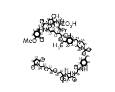 COc1ccc(C[C@@H](NC(=O)/C=C/CC[C@H](C)O[C@@H](C)c2ccc(CN3CCN(C(=O)OCc4ccc(NC(=O)CNC(=O)C(NC(=O)CCOCCOCCN5C(=O)C=CC5=O)C(C)C)cc4)CC3)cc2)C(=O)NC[C@@H](C)C(=O)N[C@@H](CC(C)C)C(=O)O)cc1Cl